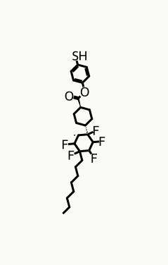 CCCCCCCCC1(F)C(F)[CH]C(F)([C@H]2CC[C@H](C(=O)Oc3ccc(S)cc3)CC2)C(F)C1F